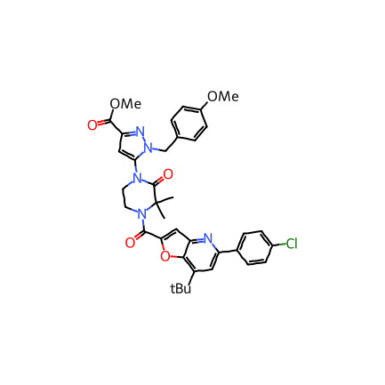 COC(=O)c1cc(N2CCN(C(=O)c3cc4nc(-c5ccc(Cl)cc5)cc(C(C)(C)C)c4o3)C(C)(C)C2=O)n(Cc2ccc(OC)cc2)n1